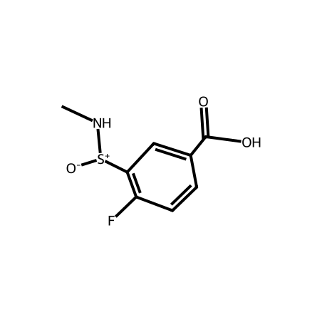 CN[S+]([O-])c1cc(C(=O)O)ccc1F